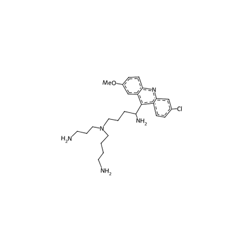 COc1ccc2nc3cc(Cl)ccc3c(C(N)CCCN(CCCN)CCCCN)c2c1